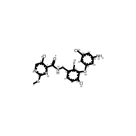 CSc1ncc(Cl)c(C(=O)NCc2ccc(Cl)c(Oc3cc(N)cc(Cl)c3)c2F)n1